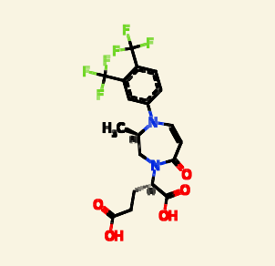 C[C@@H]1CN([C@@H](CCC(=O)O)C(=O)O)C(=O)C=CN1c1ccc(C(F)(F)F)c(C(F)(F)F)c1